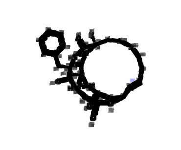 CC(C)[C@H]1NC(=O)CC2/C=C/CCSSC[C@@H](NC1=O)C(=O)N[C@H](Cc1ccccc1)C(=O)NCC(=O)O2